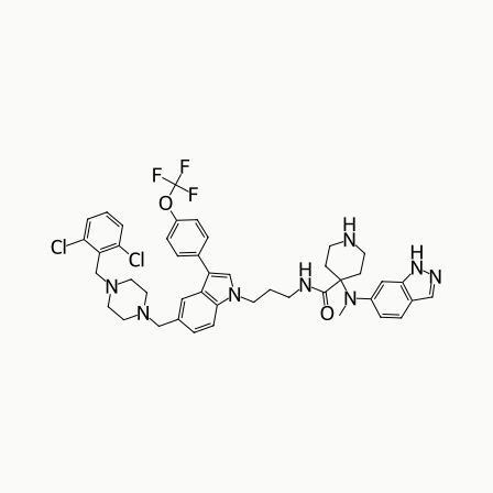 CN(c1ccc2cn[nH]c2c1)C1(C(=O)NCCCn2cc(-c3ccc(OC(F)(F)F)cc3)c3cc(CN4CCN(Cc5c(Cl)cccc5Cl)CC4)ccc32)CCNCC1